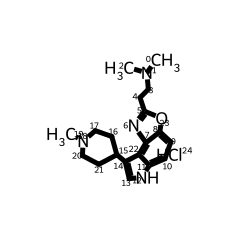 CN(C)CCc1nc2c(ccc3[nH]cc(C4CCN(C)CC4)c32)o1.Cl